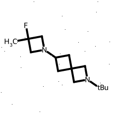 CC1(F)CN(C2CC3(C2)CN(C(C)(C)C)C3)C1